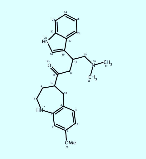 COc1ccc2c(c1)NCCC(C(=O)CC(CN(C)C)c1c[nH]c3ccccc13)C2